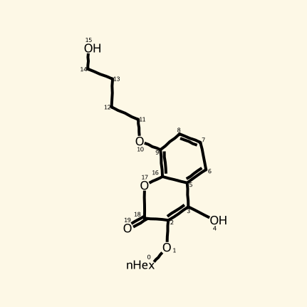 CCCCCCOc1c(O)c2cccc(OCCCCO)c2oc1=O